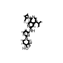 CC(C)c1cnc(N2CCC2C)c2cnc(Nc3ccnc(N4CCC(O)[C@@](C)(F)C4)n3)cc12